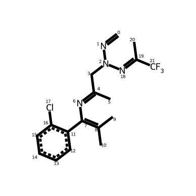 C=NN(C/C(C)=N/C(=C(C)C)c1ccccc1Cl)/N=C(\C)C(F)(F)F